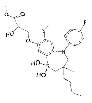 CCCCC1(C)CN(c2ccc(F)cc2)c2cc(SC)c(OCC(O)C(=O)OC)cc2S(O)(O)C1